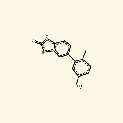 Cc1ccc(C(=O)O)cc1-c1ccc2[nH]c(=O)[nH]c2c1